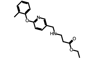 CCOC(=O)CCNCc1ccc(Oc2ccccc2C)nc1